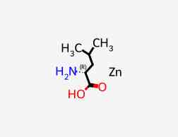 CC(C)C[C@@H](N)C(=O)O.[Zn]